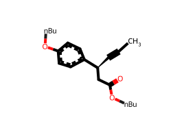 CC#C[C@@H](CC(=O)OCCCC)c1ccc(OCCCC)cc1